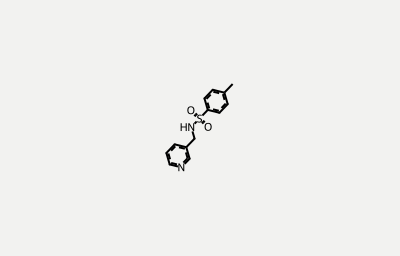 Cc1ccc(S(=O)(=O)NCc2cccnc2)cc1